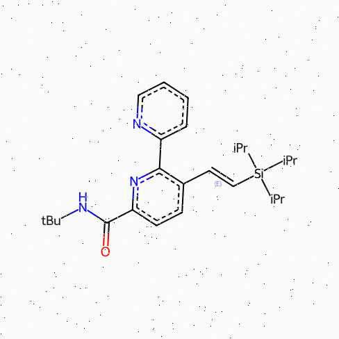 CC(C)[Si](/C=C/c1ccc(C(=O)NC(C)(C)C)nc1-c1ccccn1)(C(C)C)C(C)C